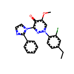 CCc1ccc(-n2cc(OC)c(=O)c(-n3ccnc3-c3ccccc3)n2)c(F)c1